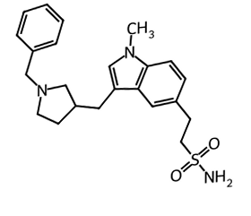 Cn1cc(CC2CCN(Cc3ccccc3)C2)c2cc(CCS(N)(=O)=O)ccc21